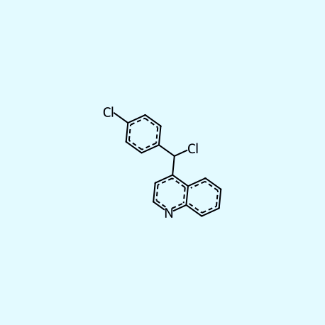 Clc1ccc(C(Cl)c2ccnc3ccccc23)cc1